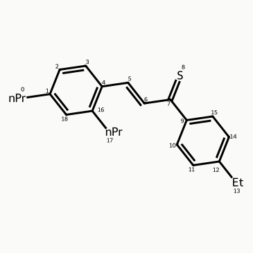 CCCc1ccc(C=CC(=S)c2ccc(CC)cc2)c(CCC)c1